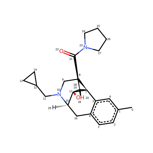 Cc1ccc2c(c1)[C@]13CCN(CC4CC4)[C@H](C2)[C@]1(O)C[C@H](C(=O)N1CCCC1)C3